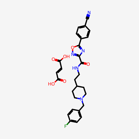 N#Cc1ccc(-c2nc(C(=O)NCCC3CCN(Cc4ccc(F)cc4)CC3)no2)cc1.O=C(O)/C=C/C(=O)O